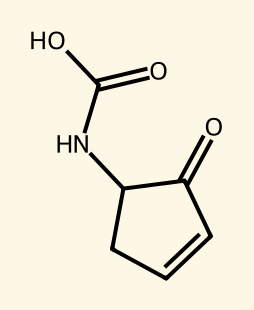 O=C(O)NC1CC=CC1=O